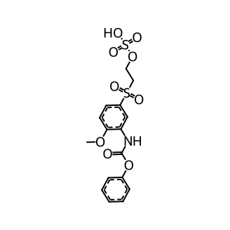 COc1ccc(S(=O)(=O)CCOS(=O)(=O)O)cc1NC(=O)Oc1ccccc1